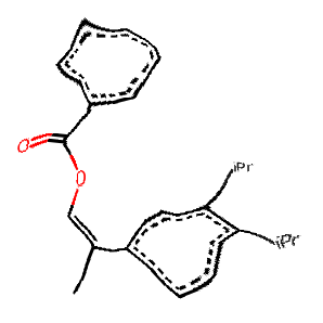 CC(=COC(=O)c1ccccc1)c1ccc(C(C)C)c(C(C)C)c1